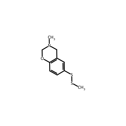 CSSc1ccc2c(c1)CN(C)CO2